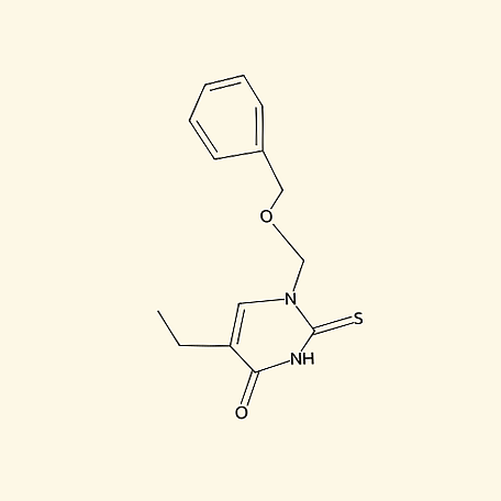 CCc1cn(COCc2ccccc2)c(=S)[nH]c1=O